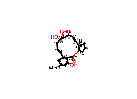 COc1cc(O)c2c(c1)/C=C/C[C@@H](O)C(O)C(O)/C=C\[C@H]1CCCC1OC2=O